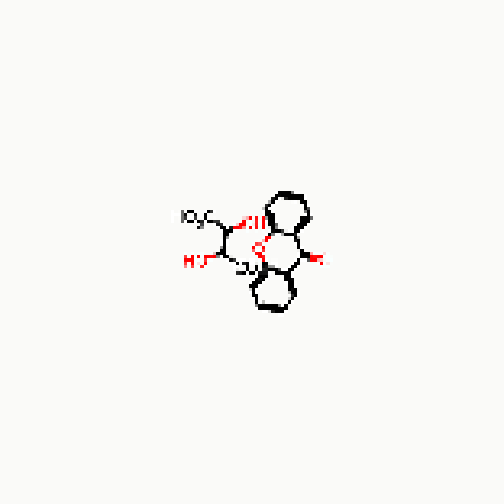 O=C(O)C(O)C(O)C(=O)O.O=c1c2ccccc2oc2ccccc12